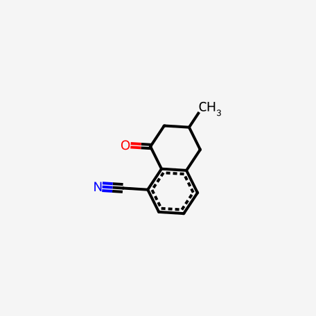 CC1CC(=O)c2c(C#N)cccc2C1